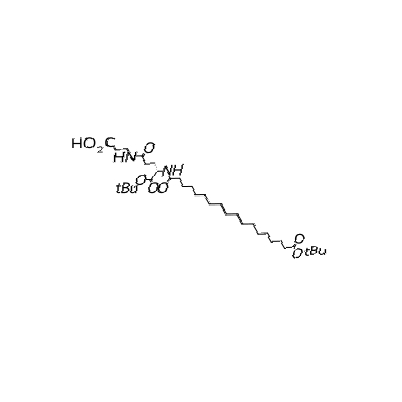 CC(C)(C)OC(=O)CCCCCCCCCCCCCCCCC(=O)N[C@@H](CCC(=O)NCCC(=O)O)C(=O)OC(C)(C)C